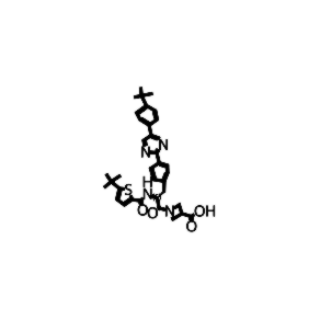 CC(C)(C)c1ccc(-c2cnc(-c3ccc(C[C@H](NC(=O)c4ccc(C(C)(C)C)s4)C(=O)N4CC(C(=O)O)C4)cc3)nc2)cc1